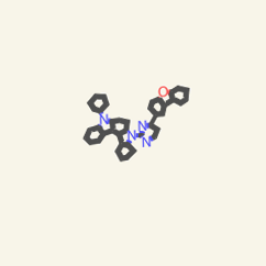 c1ccc(-n2c3ccccc3c3c4c5ccccc5n(-c5nccc(-c6ccc7oc8ccccc8c7c6)n5)c4ccc32)cc1